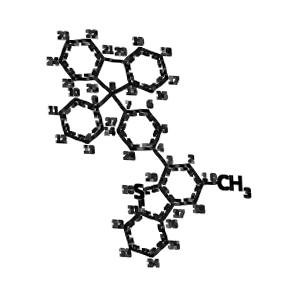 Cc1cc(-c2ccc(C3(c4ccccc4)c4ccccc4-c4ccccc43)cc2)c2sc3ccccc3c2c1